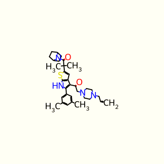 C=CCN1CCN(CC(=O)c2c(-c3cc(C)cc(C)c3)[nH]c3sc(C(C)(C)C(=O)N4C5CCC4CC5)cc23)CC1